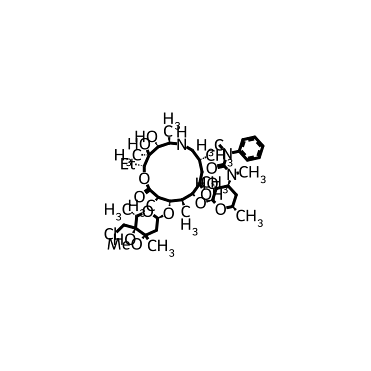 CC[C@H]1OC(=O)[C@H](C)[C@@H](O[C@H]2C[C@@](C)(OC)[C@](O)(CCl)[C@H](C)O2)[C@H](C)[C@@H](O[C@@H]2O[C@H](C)C[C@H](N(C)C(=O)N(C)c3ccccc3)[C@H]2O)[C@](C)(O)C[C@@H](C)CN[C@H](C)[C@@H](O)[C@]1(C)O